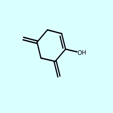 C=C1CC=C(O)C(=C)C1